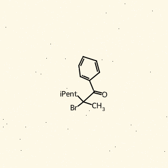 CCCC(C)C(C)(Br)C(=O)c1ccccc1